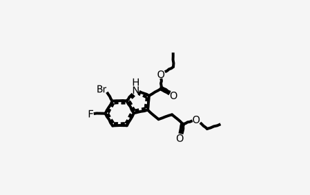 CCOC(=O)CCc1c(C(=O)OCC)[nH]c2c(Br)c(F)ccc12